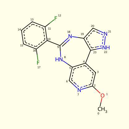 COc1cc2c(cn1)NC(c1c(F)cccc1F)=Nc1cn[nH]c1-2